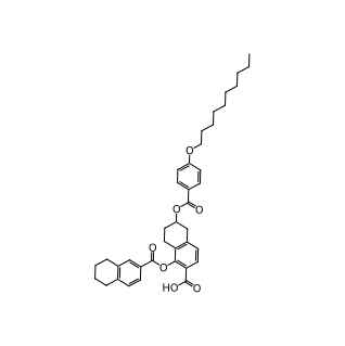 CCCCCCCCCCOc1ccc(C(=O)OC2CCc3c(ccc(C(=O)O)c3OC(=O)c3ccc4c(c3)CCCC4)C2)cc1